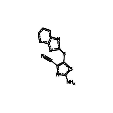 N#Cc1nc(N)sc1Sc1nc2ccccc2s1